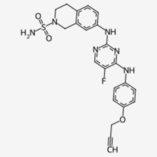 C#CCOc1ccc(Nc2nc(Nc3ccc4c(c3)CN(S(N)(=O)=O)CC4)ncc2F)cc1